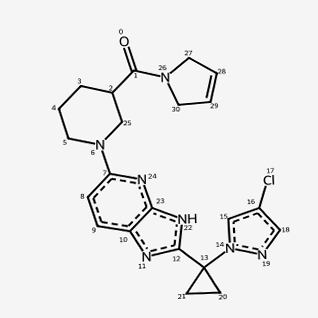 O=C(C1CCCN(c2ccc3nc(C4(n5cc(Cl)cn5)CC4)[nH]c3n2)C1)N1CC=CC1